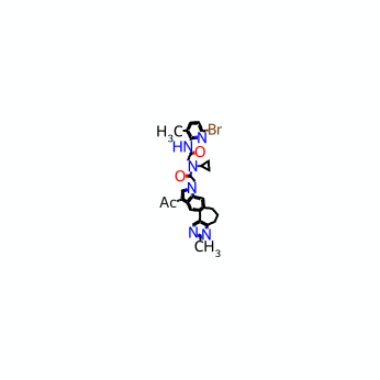 CC(=O)c1cn(CC(=O)N(CC(=O)Nc2nc(Br)ccc2C)C2CC2)c2cc3c(cc12)-c1cnc(C)nc1CCC3